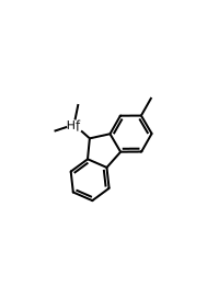 Cc1ccc2c(c1)[CH]([Hf]([CH3])[CH3])c1ccccc1-2